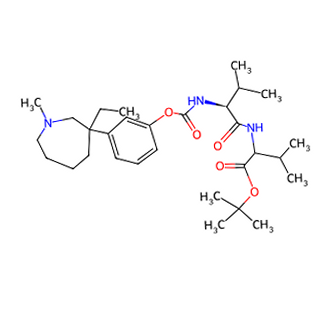 CCC1(c2cccc(OC(=O)N[C@H](C(=O)NC(C(=O)OC(C)(C)C)C(C)C)C(C)C)c2)CCCCN(C)C1